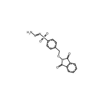 NN=NS(=O)(=O)c1ccc(CON2C(=O)c3ccccc3C2=O)cc1